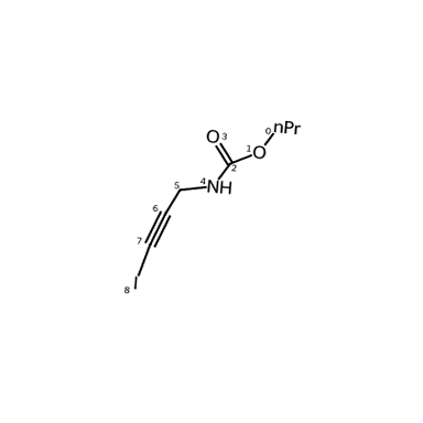 CCCOC(=O)NCC#CI